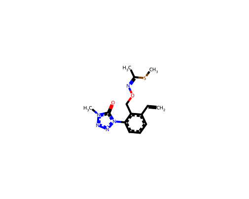 C=Cc1cccc(-n2nnn(C)c2=O)c1CON=C(C)SC